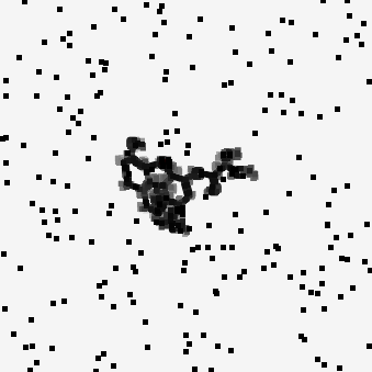 C[C@H](O)C(=O)OC1=CC[C@@]2(O)[C@H]3Cc4ccc(O)c5c4[C@@]2(CCN3C)[C@H]1O5